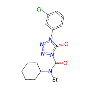 CCN(C(=O)n1nnn(-c2cccc(Cl)c2)c1=O)C1CCCCC1